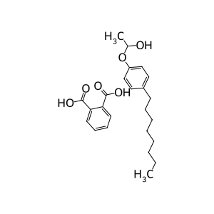 CCCCCCCCc1ccc(OC(C)O)cc1.O=C(O)c1ccccc1C(=O)O